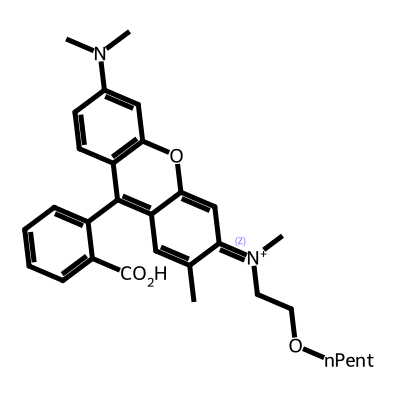 CCCCCOCC/[N+](C)=c1/cc2oc3cc(N(C)C)ccc3c(-c3ccccc3C(=O)O)c-2cc1C